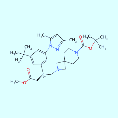 COC(=O)C[C@H](CN1CC2(CCN(C(=O)OC(C)(C)C)CC2)C1)c1cc(-n2nc(C)cc2C)cc(C(C)(C)C)c1